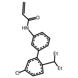 C=CC(=O)Nc1cccc(-c2cc(Cl)ccc2C(CC)CC)c1